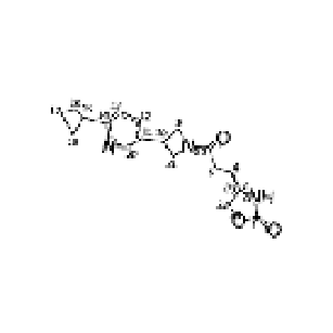 O=C1N[C@H](CCC(=O)N2CC(c3ccc(C4CCC4)nc3)C2)CO1